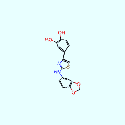 Oc1ccc(-c2csc(Nc3ccc4c(c3)OCO4)n2)cc1O